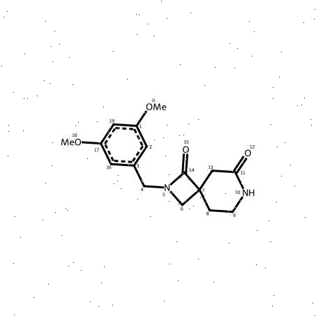 COc1cc(CN2CC3(CCNC(=O)C3)C2=O)cc(OC)c1